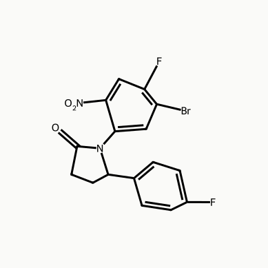 O=C1CCC(c2ccc(F)cc2)N1c1cc(Br)c(F)cc1[N+](=O)[O-]